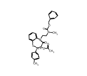 CC(=O)O[C@@H]1C(=O)N(CCN(C)C(=O)OCc2ccccc2)c2ccccc2S[C@@H]1c1ccc(C)cc1